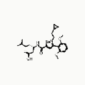 COc1cccc(OC)c1-c1cc(C(=O)N[C@@H](CCC(C)C)CC(=O)O)nn1CCC1CC1